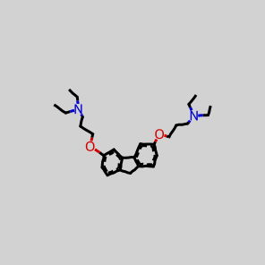 CCN(CC)CCCOc1ccc2c(c1)-c1cc(OCCCN(CC)CC)ccc1C2